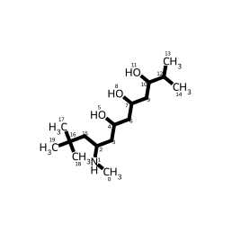 CNC(CC(O)CC(O)CC(O)C(C)C)CC(C)(C)C